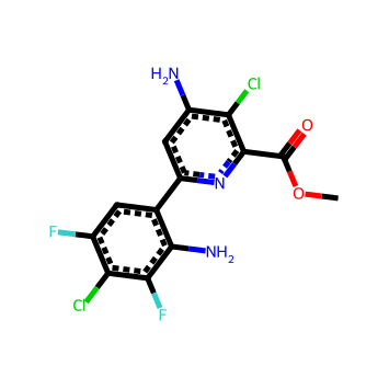 COC(=O)c1nc(-c2cc(F)c(Cl)c(F)c2N)cc(N)c1Cl